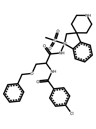 CS(=O)(=O)[N+]1(NC(=O)C(COCc2ccccc2)NC(=O)c2ccc(Cl)cc2)CC2(CCNCC2)c2ccccc21